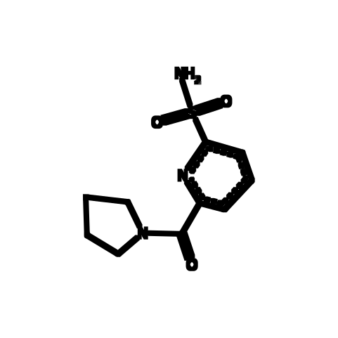 NS(=O)(=O)c1cccc(C(=O)N2CCCC2)n1